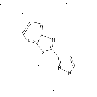 C1=CC(c2nc3ccccc3s2)=N[N]1